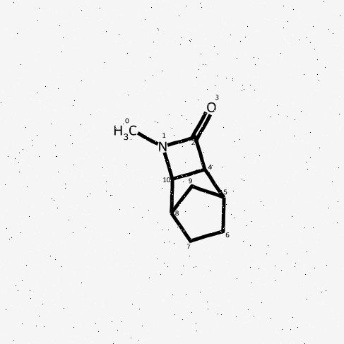 CN1C(=O)C2C3CCC(C3)C21